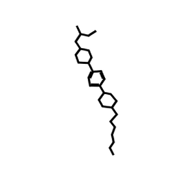 CCCCCCCC1CCC(c2ccc(C3CCC(CC(C)CC)CC3)cc2)CC1